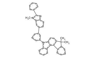 Cn1c(-c2ccccc2)nc2ccc(-c3cccc(-n4c5ccccc5c5c6c(ccc54)C(C)(C)c4ccccc4-6)c3)cc21